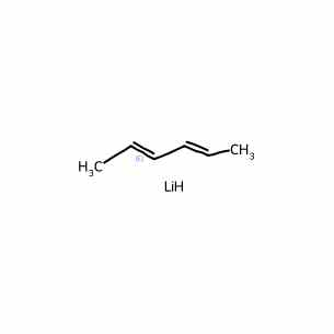 CC=C/C=C/C.[LiH]